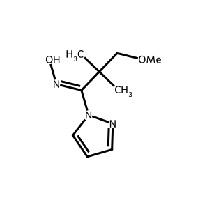 COCC(C)(C)C(=NO)n1cccn1